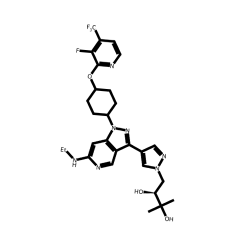 CCNc1cc2c(cn1)c(-c1cnn(C[C@H](O)C(C)(C)O)c1)nn2C1CCC(Oc2nccc(C(F)(F)F)c2F)CC1